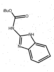 CC(C)COC(=O)Nc1nc2ccccc2[nH]1